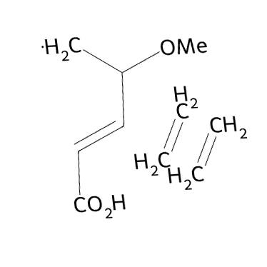 C=C.C=C.[CH2]C(C=CC(=O)O)OC